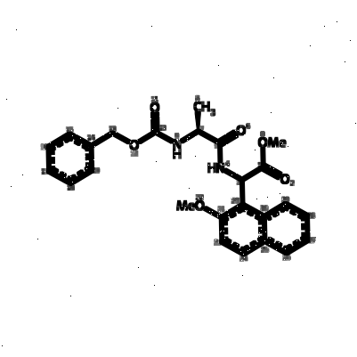 COC(=O)C(NC(=O)[C@H](C)NC(=O)OCc1ccccc1)c1c(OC)ccc2ccccc12